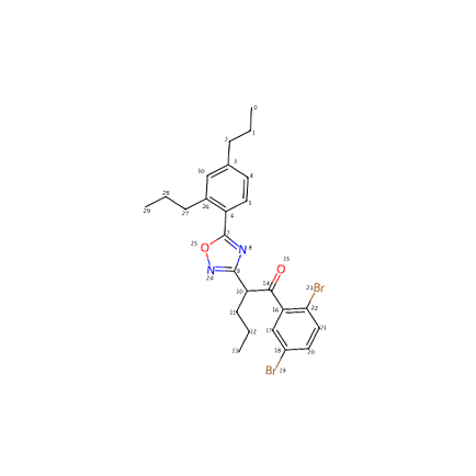 CCCc1ccc(-c2nc(C(CCC)C(=O)c3cc(Br)ccc3Br)no2)c(CCC)c1